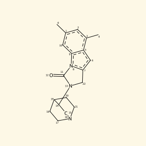 Cc1cc(C)c2cc3n(c2c1)C(=O)N(C1CN2CCC1CC2)C3